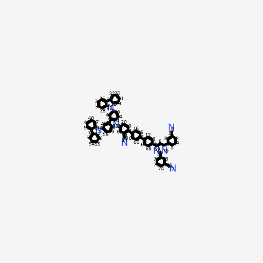 N#Cc1cccc(-c2cc(-c3ccc(-c4ccc(-c5ccc(-n6c7ccc(-n8c9ccccc9c9ccccc98)cc7c7cc(-n8c9ccccc9c9ccccc98)ccc76)cc5C#N)cc4)cc3)nc(-c3cccc(C#N)c3)n2)c1